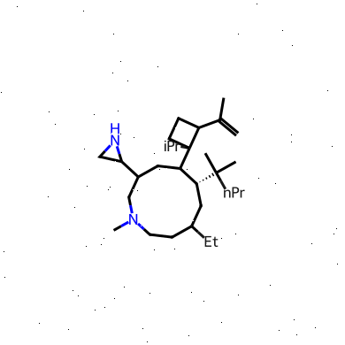 C=C(C)C1CCC1(C(C)C)C1CC(C2CN2)CN(C)CCC(CC)C[C@H]1C(C)(C)CCC